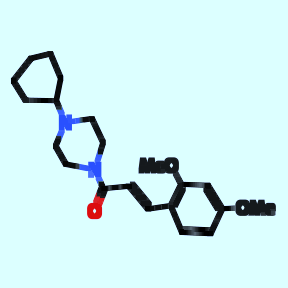 COc1ccc(C=CC(=O)N2CCN(C3CCCCC3)CC2)c(OC)c1